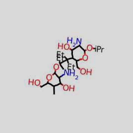 CCC(C)(OC1OC(CO)C(C)C(O)C1N)C(CC)(CC)C1C(CO)OC(OC(C)C)C(N)C1O